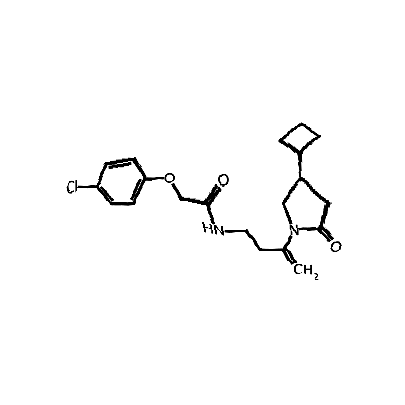 C=C(CCNC(=O)COc1ccc(Cl)cc1)N1C[C@@H](C2CCC2)CC1=O